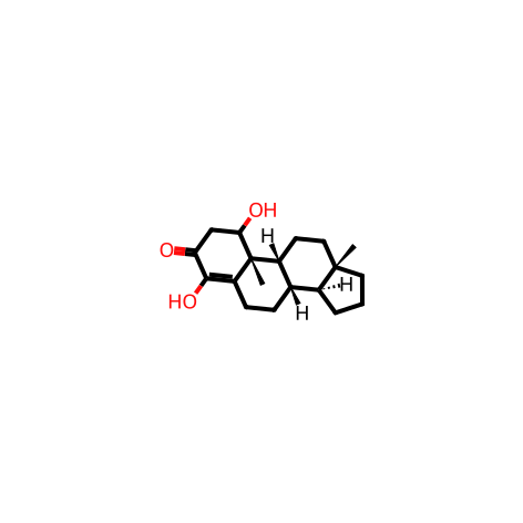 C[C@@]12CCC[C@H]1[C@@H]1CCC3=C(O)C(=O)CC(O)[C@]3(C)[C@@H]1CC2